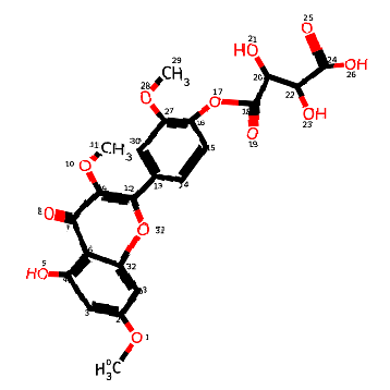 COc1cc(O)c2c(=O)c(OC)c(-c3ccc(OC(=O)C(O)C(O)C(=O)O)c(OC)c3)oc2c1